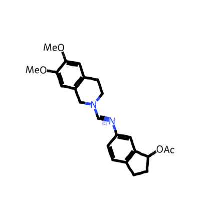 COc1cc2c(cc1OC)CN(/C=N/c1ccc3c(c1)C(OC(C)=O)CC3)CC2